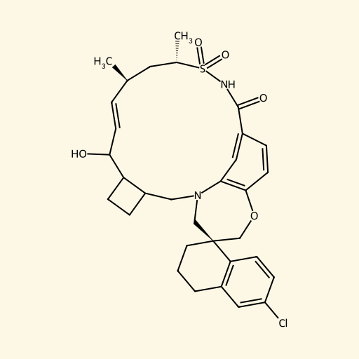 C[C@@H]1/C=C/C(O)C2CCC2CN2C[C@@]3(CCCc4cc(Cl)ccc43)COc3ccc(cc32)C(=O)NS(=O)(=O)[C@@H](C)C1